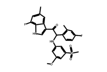 COc1cc(NC(C(=O)c2c[nH]c3c(F)cc(C)cc23)c2ccc(F)cc2C)cc(S(C)(=O)=O)c1